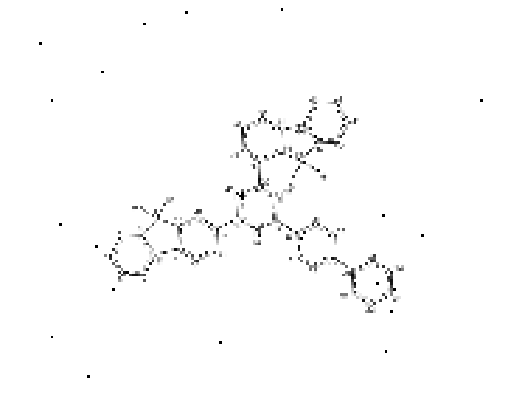 CC1(C)c2ccccc2-c2ccc(-c3nc(-c4ccc(-c5ccccc5)cc4)nc(-c4cccc5c4C(C)(C)c4ccccc4-5)n3)cc21